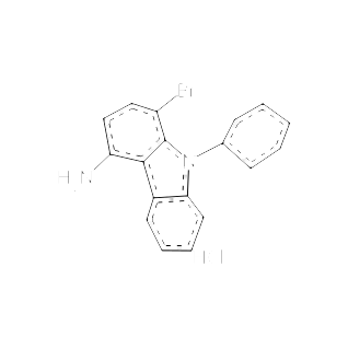 Cl.Nc1ccc(Br)c2c1c1ccccc1n2-c1ccccc1